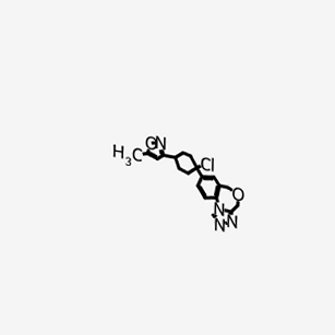 Cc1cc(C2CCC(Cl)(c3ccc4c(c3)COCc3nncn3-4)CC2)no1